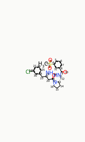 CS(=O)(=O)c1cccc(C(=O)NC[C@@H]2CCCN2C(=O)C[C@H](N)Cc2cccc(Cl)c2)c1